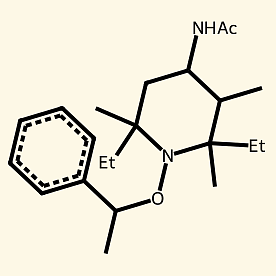 CCC1(C)CC(NC(C)=O)C(C)C(C)(CC)N1OC(C)c1ccccc1